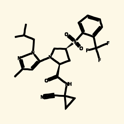 Cc1cc(N2C[C@H](S(=O)(=O)c3ccccc3C(F)(F)F)C[C@H]2C(=O)NC2(C#N)CC2)n(CC(C)C)n1